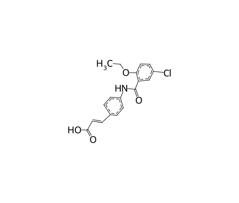 CCOc1ccc(Cl)cc1C(=O)Nc1ccc(C=CC(=O)O)cc1